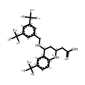 O=C(O)CC1CC(NCc2cc(C(F)(F)F)cc(C(F)(F)F)c2)c2cc(C(F)(F)F)ccc2N1